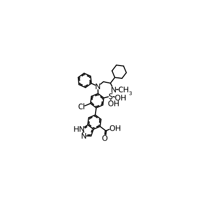 CN1C(C2CCCCC2)CN(c2ccccc2)c2cc(Cl)c(-c3cc(C(=O)O)c4cn[nH]c4c3)cc2S1(O)O